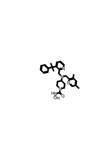 Cc1cnc(CN(Cc2ncccc2C(C)(C)c2ccccc2)C2CCN(C(=O)NO)CC2)c(C)c1